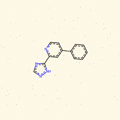 [c]1n[nH]c(-c2cc(-c3ccccc3)ccn2)n1